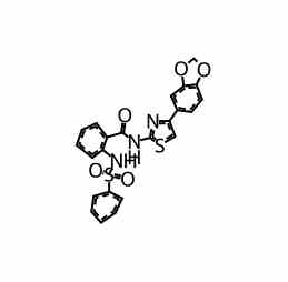 O=C(Nc1nc(-c2ccc3c(c2)OCO3)cs1)c1ccccc1NS(=O)(=O)c1ccccc1